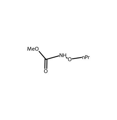 CCCONC(=O)OC